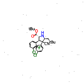 CC(C)(C)C[C@@H]1N[C@@H](C(=O)OC(C)(C)C)[C@H](c2cccc(Cl)c2F)[C@@]1(C#N)c1ccc(Cl)cc1